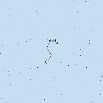 ClCC[AsH2]